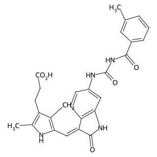 Cc1cccc(C(=O)NC(=O)Nc2ccc3c(c2)NC(=O)C3=Cc2[nH]c(C)c(CCC(=O)O)c2C)c1